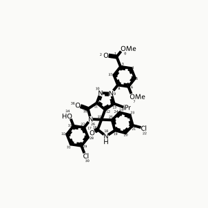 COC(=O)c1ccc(OC)c(-n2nc3c(c2C(C)C)C2(C(=O)Nc4cc(Cl)ccc42)N(c2cc(Cl)ccc2O)C3=O)c1